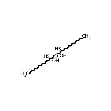 CCCCCCCCCCCCC(S)C(O)COCC(O)C(S)CCCCCCCCCCCC